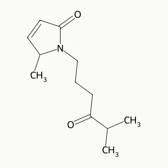 CC(C)C(=O)CCCN1C(=O)C=CC1C